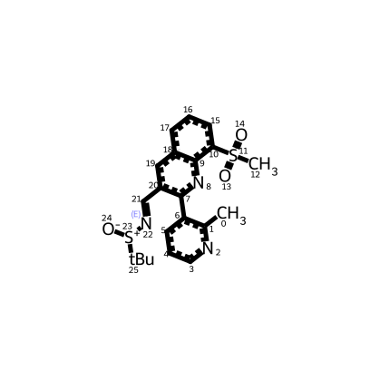 Cc1ncccc1-c1nc2c(S(C)(=O)=O)cccc2cc1/C=N/[S+]([O-])C(C)(C)C